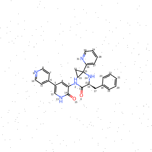 O=C(Nc1cc(-c2ccncc2)c[nH]c1=O)[C@H](Cc1ccccc1)NC1(c2ccccn2)CC1